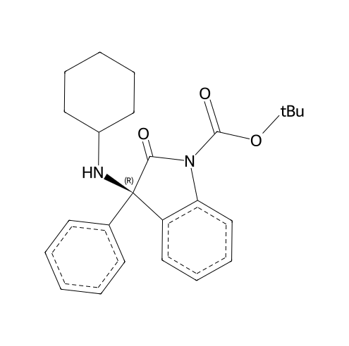 CC(C)(C)OC(=O)N1C(=O)[C@@](NC2CCCCC2)(c2ccccc2)c2ccccc21